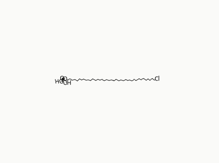 O=P(O)(O)OCCCCCCCCCCCCCCCCCCCCCCCCCCCCCCCCCCCCCCCCl